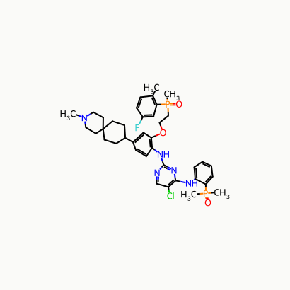 Cc1ccc(F)cc1P(C)(=O)CCOc1cc(C2CCC3(CC2)CCN(C)CC3)ccc1Nc1ncc(Cl)c(Nc2ccccc2P(C)(C)=O)n1